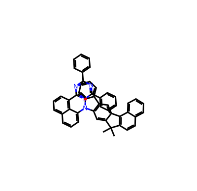 CC1(C)c2cc3c(cc2-c2c1ccc1ccccc21)c1ccccc1n3-c1cccc2cccc(-c3nc(-c4ccccc4)nc(-c4ccccc4)n3)c12